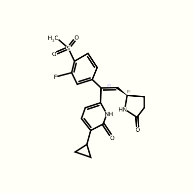 CS(=O)(=O)c1ccc(/C(=C/[C@H]2CCC(=O)N2)c2ccc(C3CC3)c(=O)[nH]2)cc1F